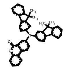 CC1(C)c2ccccc2-c2ccc(N(c3ccc4c(c3)C(C)(C)c3ccccc3-4)c3ccc4c(c3)c(=O)oc3ccccc34)cc21